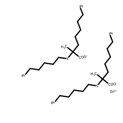 CC(C)CCCCCSC(C)(CCCCCC(C)C)C(=O)[O-].CC(C)CCCCCSC(C)(CCCCCC(C)C)C(=O)[O-].[Zn+2]